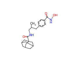 CC(CNC(=O)C12CC3CC(CC(C3)C1)C2)Cc1ccc(C(=O)NO)cc1